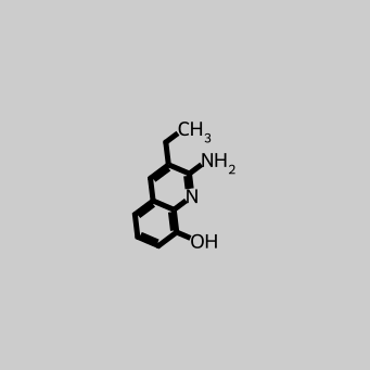 CCc1cc2cccc(O)c2nc1N